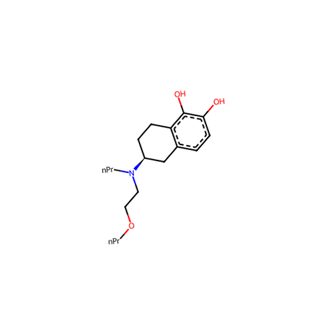 CCCOCCN(CCC)[C@H]1CCc2c(ccc(O)c2O)C1